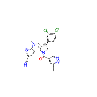 Cc1cc(C(=O)N2C[C@H](CN(C)c3ccc(C#N)cn3)[C@@H](c3ccc(Cl)c(Cl)c3)C2)cnn1